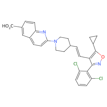 O=C(O)c1ccc2nc(N3CCC(C=Cc4c(-c5c(Cl)cccc5Cl)noc4C4CC4)CC3)ccc2c1